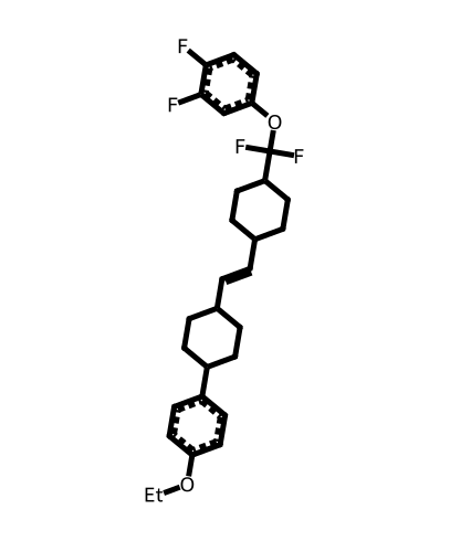 CCOc1ccc(C2CCC(/C=C/C3CCC(C(F)(F)Oc4ccc(F)c(F)c4)CC3)CC2)cc1